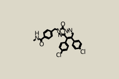 CNC(=O)c1ccc(Cn2nc3c(-c4ccc(Cl)cc4)c(-c4ccc(Cl)cc4)cnn3c2=O)cc1